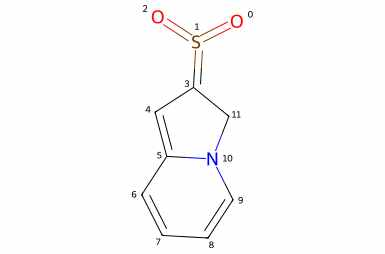 O=S(=O)=C1C=C2C=CC=CN2C1